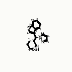 c1ccc2c([C@@H]([C@H]3CCCNC3)n3nccn3)csc2c1